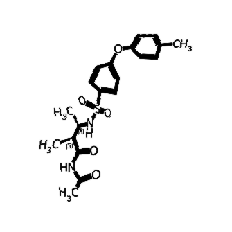 CC(=O)NC(=O)[C@@H](C)[C@@H](C)NS(=O)(=O)c1ccc(Oc2ccc(C)cc2)cc1